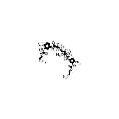 CCCOC(=O)Nc1cc(NC(=O)OC(C)(C)C(C)COC(C)(C)C(=O)Nc2ccc(C)c(NC(=O)OCCC)c2)ccc1C